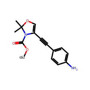 CC(C)(C)OC(=O)N1C(C#Cc2ccc(N)cc2)=COC1(C)C